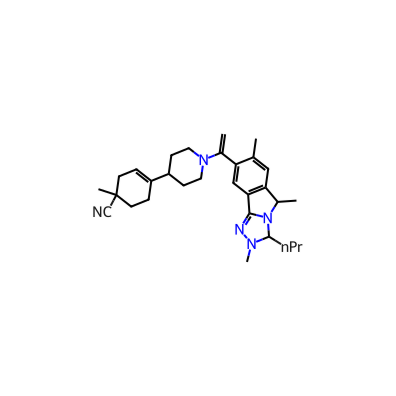 C=C(c1cc2c(cc1C)C(C)N1C2=NN(C)C1CCC)N1CCC(C2=CCC(C)(C#N)CC2)CC1